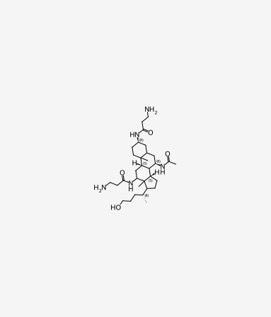 CC(=O)N[C@@H]1CC2C[C@H](NC(=O)CCN)CCC2(C)[C@H]2CC(NC(=O)CCN)C3(C)C([C@H](C)CCCO)CC[C@H]3C12